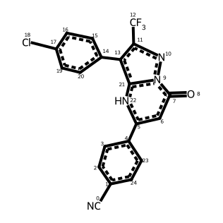 N#Cc1ccc(-c2cc(=O)n3nc(C(F)(F)F)c(-c4ccc(Cl)cc4)c3[nH]2)cc1